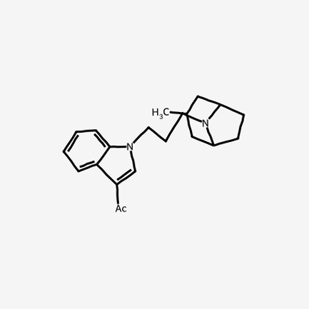 CC(=O)c1cn(CCCN2C3CCC2CC(C)C3)c2ccccc12